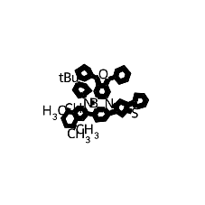 CC(C)(C)c1ccc(N2B3c4cc5c(-c6ccccc6)oc(-c6ccccc6)c5cc4-n4c5cc6c(cc5c5ccc(c3c54)-c3cc4c(cc32)C(C)(C)CCC4(C)C)sc2ccccc26)cc1